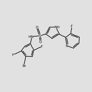 O=S(=O)(Nc1cc(F)c(Br)cc1F)c1c[nH]c(-c2ncccc2F)c1